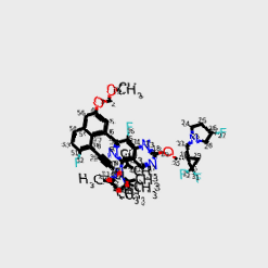 COCOc1cc(-c2nc(N3CC[C@@H]3C)c3cnc(OC[C@]4(CN5CC[C@@H](F)C5)CC4(F)F)nc3c2F)c2c(C#C[Si](C(C)C)(C(C)C)C(C)C)c(F)ccc2c1